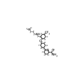 CN(C)CCCNCc1cc(C(F)(F)F)ccc1Oc1ccc(-c2cccc(C(N)=O)n2)cc1